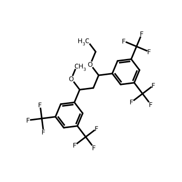 CCOC(CC(OC)c1cc(C(F)(F)F)cc(C(F)(F)F)c1)c1cc(C(F)(F)F)cc(C(F)(F)F)c1